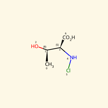 C[C@@H](O)[C@H](NCl)C(=O)O